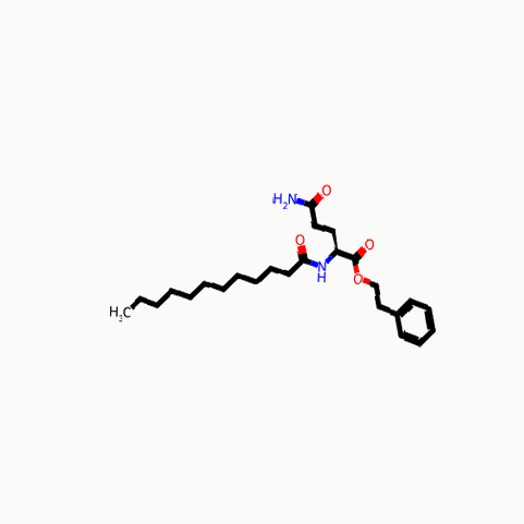 CCCCCCCCCCCC(=O)N[C@@H](CCC(N)=O)C(=O)OCCc1ccccc1